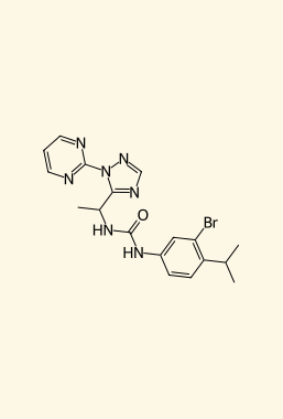 CC(C)c1ccc(NC(=O)NC(C)c2ncnn2-c2ncccn2)cc1Br